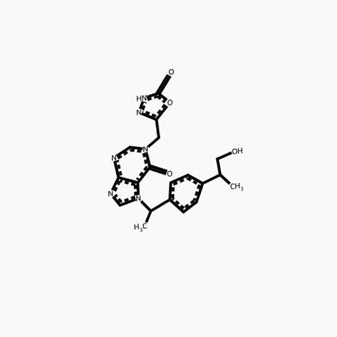 CC(CO)c1ccc(C(C)n2cnc3ncn(Cc4n[nH]c(=O)o4)c(=O)c32)cc1